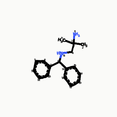 CC(C)(N)CNC(c1ccccc1)c1ccccc1